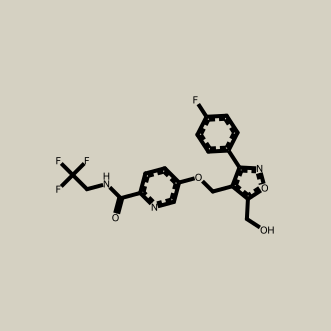 O=C(NCC(F)(F)F)c1ccc(OCc2c(-c3ccc(F)cc3)noc2CO)cn1